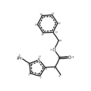 CC(C)c1ccc(C(C)C(=O)OCc2ccccc2)s1